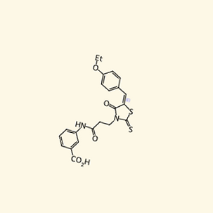 CCOc1ccc(/C=C2/SC(=S)N(CCC(=O)Nc3cccc(C(=O)O)c3)C2=O)cc1